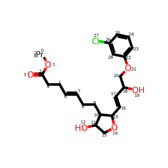 CC(C)OC(=O)CCC=CCCC1C(O)COC1C=CC(O)COc1cccc(Cl)c1